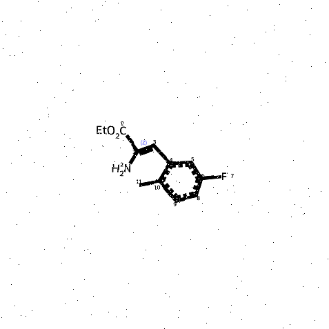 CCOC(=O)/C(N)=C/c1cc(F)ccc1C